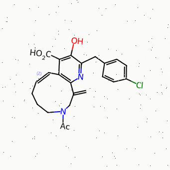 C=C1CN(C(C)=O)CCC/C=C\c2c1nc(Cc1ccc(Cl)cc1)c(O)c2C(=O)O